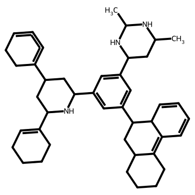 CC1CC(c2cc(C3CC(C4=C=C=CCC4)CC(C4=CCCCC4)N3)cc(C3CC4CCCCC4=C4C=CC=CC43)c2)NC(C)N1